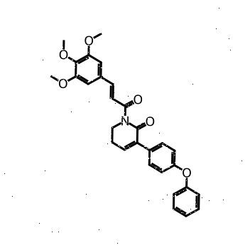 COc1cc(C=CC(=O)N2CCC=C(c3ccc(Oc4ccccc4)cc3)C2=O)cc(OC)c1OC